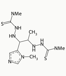 CNC(=S)NNC(C)C(NNC(=S)NC)c1cncn1C